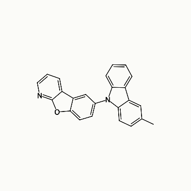 Cc1ccc2c(c1)c1ccccc1n2-c1ccc2oc3ncccc3c2c1